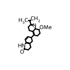 C=C(C)C1=NC2C(=C(C3C=CC4=C(CCC(=O)N4)C3)CCC2OC)CC1